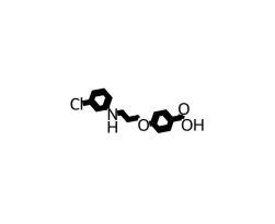 O=C(O)c1ccc(OCCCNc2cccc(Cl)c2)cc1